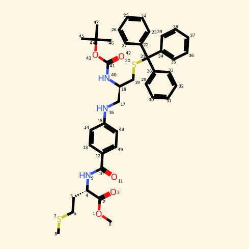 COC(=O)[C@H](CCSC)NC(=O)c1ccc(NC[C@H](CSC(c2ccccc2)(c2ccccc2)c2ccccc2)NC(=O)OC(C)(C)C)cc1